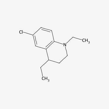 CCC1CCN(CC)c2ccc(Cl)cc21